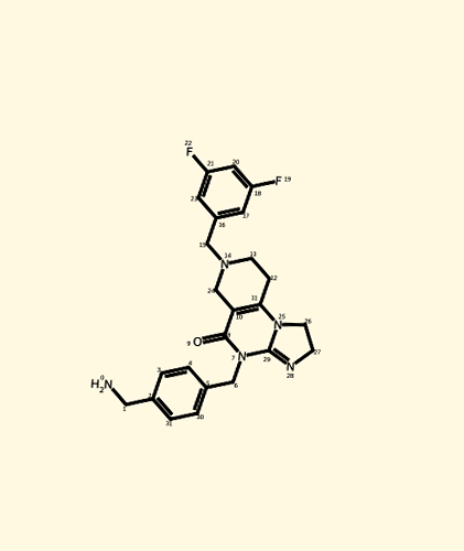 NCc1ccc(CN2C(=O)C3=C(CCN(Cc4cc(F)cc(F)c4)C3)N3CCN=C23)cc1